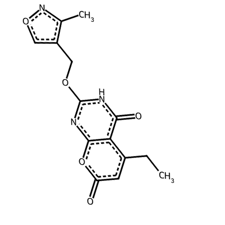 CCc1cc(=O)oc2nc(OCc3conc3C)[nH]c(=O)c12